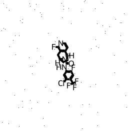 O=C(Nc1cc(Cl)c(C(F)(F)F)cc1F)N1[C@H]2CC[C@@H]1c1ccnc(F)c1C2